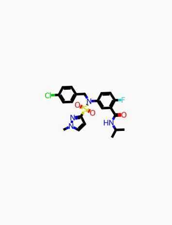 CC(C)NC(=O)c1cc(N(Cc2ccc(Cl)cc2)S(=O)(=O)c2ccn(C)n2)ccc1F